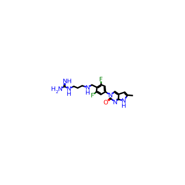 Cc1cc2cn(-c3cc(F)c(CNCCCNC(=N)N)c(F)c3)c(=O)nc2[nH]1